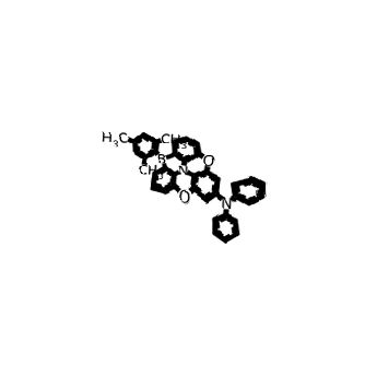 Cc1cc(C)c(B2c3cccc4c3N3c5c(cc(N(c6ccccc6)c6ccccc6)cc5Oc5cccc2c53)O4)c(C)c1